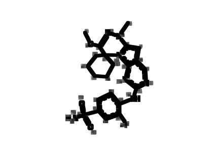 COC1=NN(C)c2cc3cnc(Nc4ccc(S(N)(=O)=O)cc4F)nc3n2C12CCCCC2